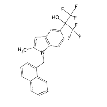 Cc1cc2cc(C(O)(C(F)(F)F)C(F)(F)F)ccc2n1Cc1cccc2ccccc12